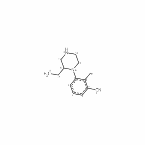 Cc1c(C#N)cccc1N1CCNCC1CC(F)(F)F